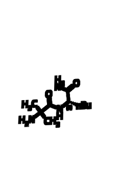 CCCC[C@H](NC(=O)C(C)(C)N)C(N)=O